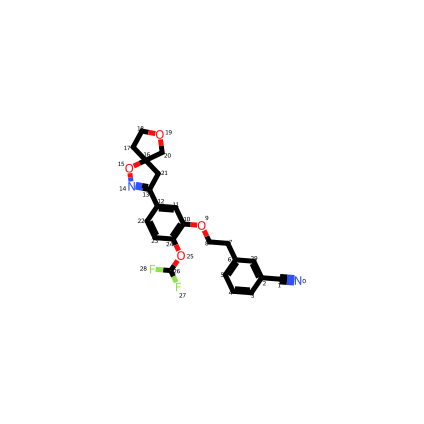 N#Cc1cccc(CCOc2cc(C3=NOC4(CCOC4)C3)ccc2OC(F)F)c1